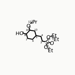 CCO[Si](CCC1CCC(O)C(OC(C)C)C1)(OCC)OCC